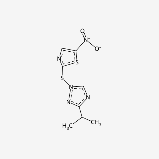 CC(C)c1ncn(Sc2ncc([N+](=O)[O-])s2)n1